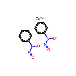 O=NN([O-])c1ccccc1.O=NN([O-])c1ccccc1.[Cu+2]